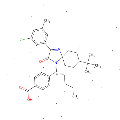 CCCC[C@H](c1ccc(C(=O)O)cc1)N1C(=O)C(c2cc(C)cc(Cl)c2)=NC12CCC(C(C)(C)C)CC2